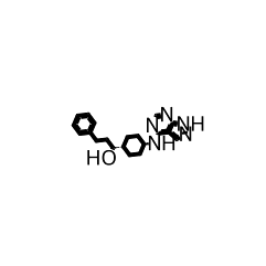 OC(CCc1ccccc1)[C@H]1CC[C@H](Nc2ncnc3[nH]ncc23)CC1